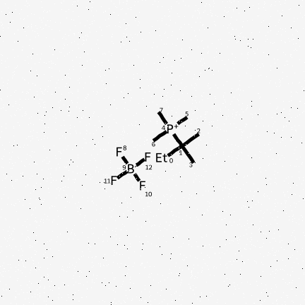 CCC(C)(C)[P+](C)(C)C.F[B-](F)(F)F